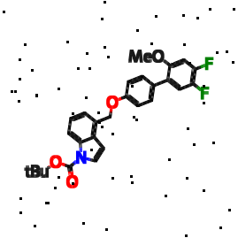 COc1cc(F)c(F)cc1-c1ccc(OCc2cccc3c2ccn3C(=O)OC(C)(C)C)cc1